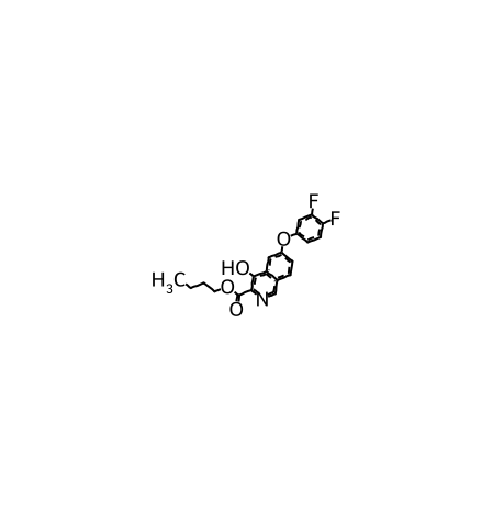 CCCCOC(=O)c1ncc2ccc(Oc3ccc(F)c(F)c3)cc2c1O